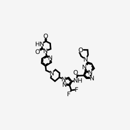 O=C1CCN(c2ccc(CN3CCC(n4cc(NC(=O)c5cnn6ccc(N7CCOCC7)nc56)c(C(F)F)n4)CC3)cn2)C(=O)N1